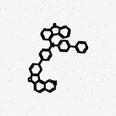 C1=CC(c2ccc(N(c3ccc(-c4ccccc4)cc3)c3cccc4sc5ccccc5c34)cc2)Cc2c1oc1ccc3ccncc3c21